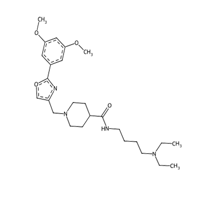 CCN(CC)CCCCNC(=O)C1CCN(Cc2coc(-c3cc(OC)cc(OC)c3)n2)CC1